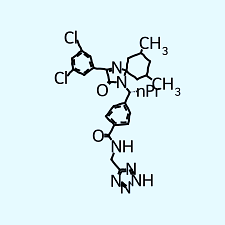 CCC[C@H](c1ccc(C(=O)NCc2nn[nH]n2)cc1)N1C(=O)C(c2cc(Cl)cc(Cl)c2)=NC12CC(C)CC(C)C2